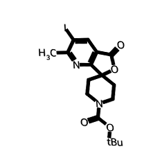 Cc1nc2c(cc1I)C(=O)OC21CCN(C(=O)OC(C)(C)C)CC1